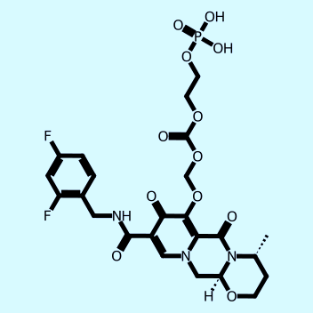 C[C@@H]1CCO[C@H]2Cn3cc(C(=O)NCc4ccc(F)cc4F)c(=O)c(OCOC(=O)OCCOP(=O)(O)O)c3C(=O)N12